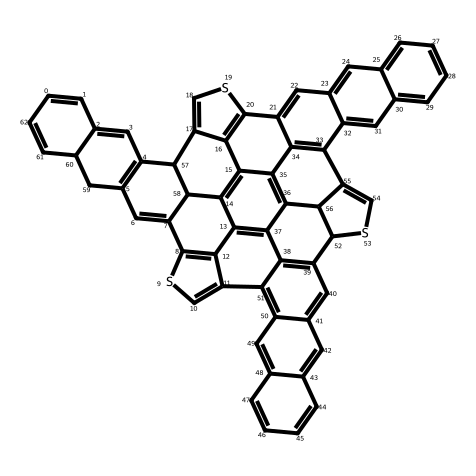 C1=CC2=CC3=C(C=C4c5scc6c5c5c7c8c9c(csc9c9cc%10cc%11ccccc%11cc%10c%10c9c8c8c5c5c(cc9cc%11ccccc%11cc9c65)C5SC=C%10C85)C3C47)CC2C=C1